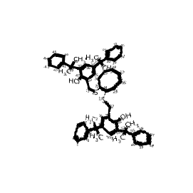 CC(C)(c1ccccc1)c1cc(CS[C@H]2CCCCCC[C@@H]2SCc2cc(C(C)(C)c3ccccc3)cc(C(C)(C)c3ccccc3)c2O)c(O)c(C(C)(C)c2ccccc2)c1